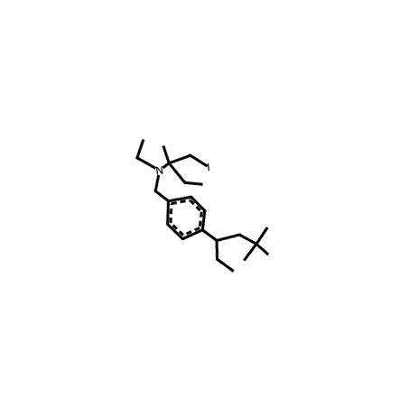 CCC(CC(C)(C)C)c1ccc(CN(CC)C(C)(CC)CI)cc1